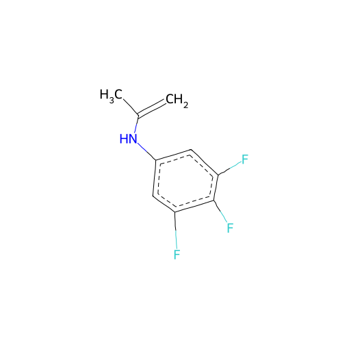 C=C(C)Nc1cc(F)c(F)c(F)c1